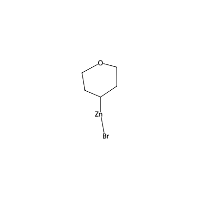 [Br][Zn][CH]1CCOCC1